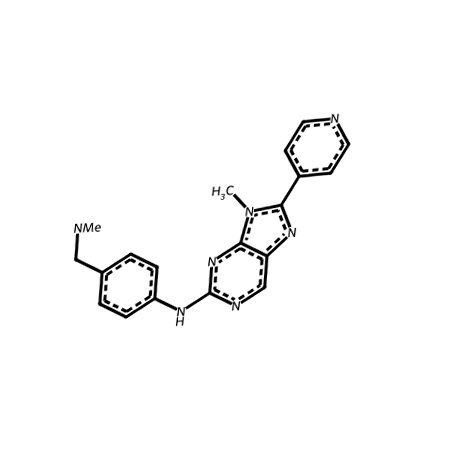 CNCc1ccc(Nc2ncc3nc(-c4ccncc4)n(C)c3n2)cc1